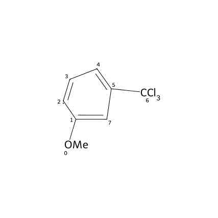 COc1[c]ccc(C(Cl)(Cl)Cl)c1